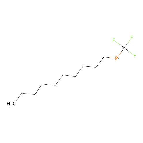 CCCCCCCCCC[P]C(F)(F)F